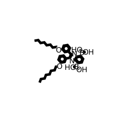 CCCCCCCCOc1cccc(-c2nc3c(B(O)O)ccc(B(O)O)c3nc2-c2cccc(OCCCCCCCC)c2)c1